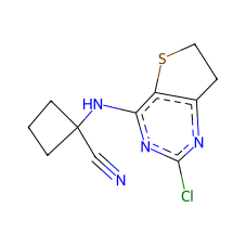 N#CC1(Nc2nc(Cl)nc3c2SCC3)CCC1